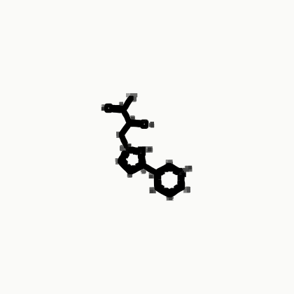 [C]C(=O)C(=O)Cn1ccc(-c2cccnc2)n1